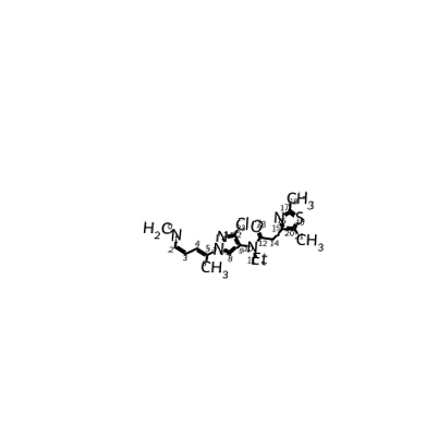 C=N/C=C\C=C(/C)n1cc(N(CC)C(=O)Cc2nc(C)sc2C)c(Cl)n1